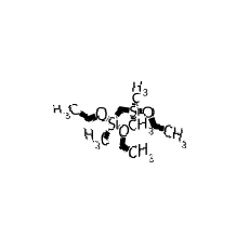 CCO[Si](C)(C)C[Si](C)(OCC)OCC